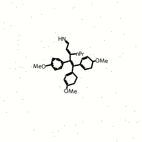 CCCC(=C\C=N)/C(=C(\C1=CCC(OC)C=C1)C1=CC=C(OC)CC1)c1ccc(OC)cc1